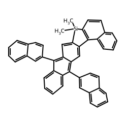 C[Si]1(C)c2cc3c(-c4ccc5ccccc5c4)c4ccccc4c(-c4ccc5ccccc5c4)c3cc2-c2c1ccc1ccccc21